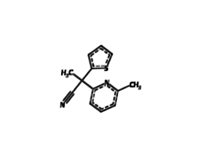 Cc1cccc(C(C)(C#N)c2cccs2)n1